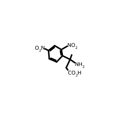 CC(N)(CC(=O)O)c1ccc([N+](=O)[O-])cc1[N+](=O)[O-]